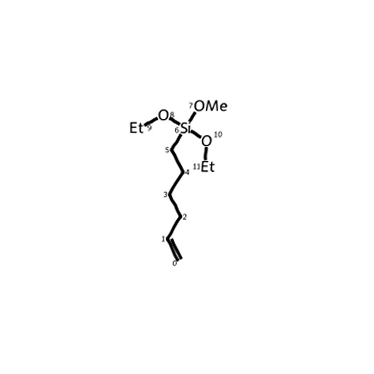 C=CCCCC[Si](OC)(OCC)OCC